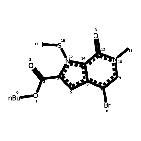 CCCCOC(=O)c1cc2c(Br)cn(C)c(=O)c2n1SI